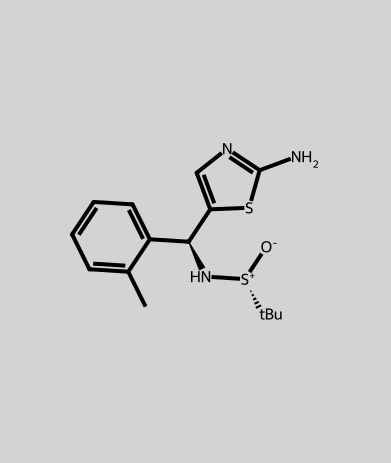 Cc1ccccc1[C@H](N[S@+]([O-])C(C)(C)C)c1cnc(N)s1